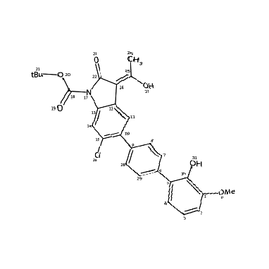 COc1cccc(-c2ccc(-c3cc4c(cc3Cl)N(C(=O)OC(C)(C)C)C(=O)/C4=C(\C)O)cc2)c1O